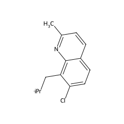 C[C](C)Cc1c(Cl)ccc2ccc(C)nc12